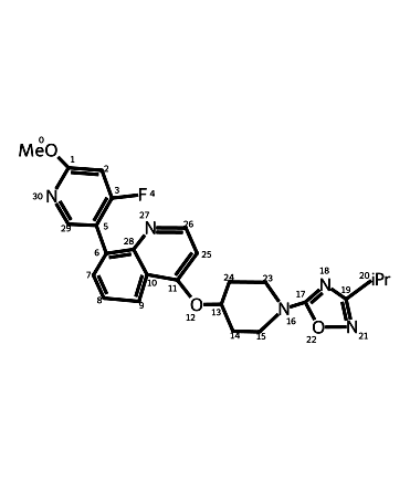 COc1cc(F)c(-c2cccc3c(OC4CCN(c5nc(C(C)C)no5)CC4)ccnc23)cn1